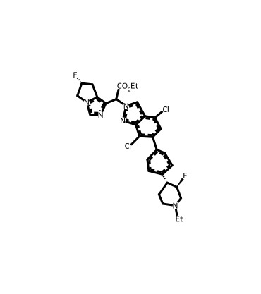 CCOC(=O)C(c1ncn2c1C[C@@H](F)C2)n1cc2c(Cl)cc(-c3ccc([C@H]4CCN(CC)C[C@@H]4F)cc3)c(Cl)c2n1